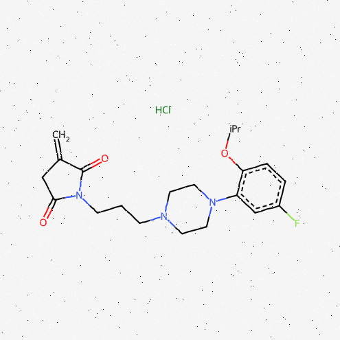 C=C1CC(=O)N(CCCN2CCN(c3cc(F)ccc3OC(C)C)CC2)C1=O.Cl